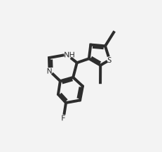 Cc1cc(C2NC=Nc3cc(F)ccc32)c(C)s1